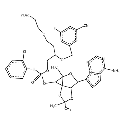 CCCCCCCCCCCCCCCC(COP(=O)(Oc1ccccc1Cl)OC1C2(C)OC(c3ccc4c(N)ncnn34)C3OC(C)(C)OC312)OCc1cc(F)cc(C#N)c1